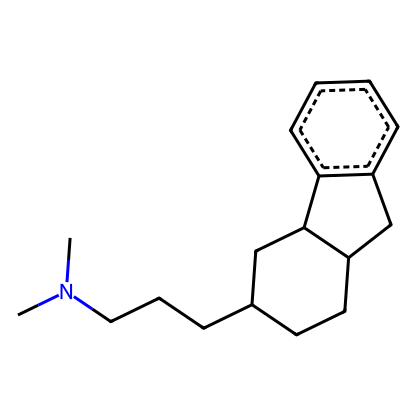 CN(C)CCCC1CCC2Cc3ccccc3C2C1